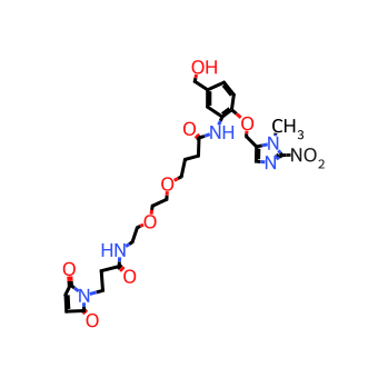 Cn1c(COc2ccc(CO)cc2NC(=O)CCCOCCOCCNC(=O)CCN2C(=O)C=CC2=O)cnc1[N+](=O)[O-]